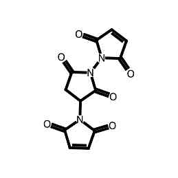 O=C1C=CC(=O)N1C1CC(=O)N(N2C(=O)C=CC2=O)C1=O